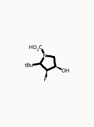 CC(C)(C)C1[C@H](F)[C@H](O)CN1C(=O)O